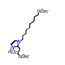 CCCCCCCCCCCCCCCCCCCN1C=CN(CCCCCCCC)C1CCCCCCCCCCCC